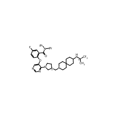 CC(C)N(C(=O)c1cc(F)ccc1Oc1cncnc1N1CC[C@@H](CN2CCC3(CCC(N[C@H](C)C(F)(F)F)CC3)CC2)C1)C(C)C